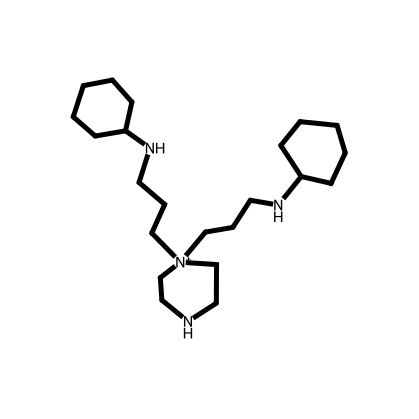 C1CCC(NCCC[N+]2(CCCNC3CCCCC3)CCNCC2)CC1